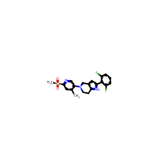 Cc1cc(S(C)(=O)=O)ncc1N1CCc2[nH]c(-c3c(F)cccc3F)cc2C1